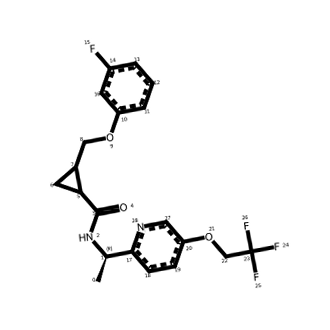 C[C@@H](NC(=O)C1CC1COc1cccc(F)c1)c1ccc(OCC(F)(F)F)cn1